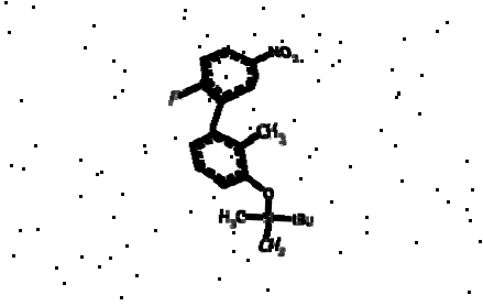 Cc1c(O[Si](C)(C)C(C)(C)C)cccc1-c1cc([N+](=O)[O-])ccc1F